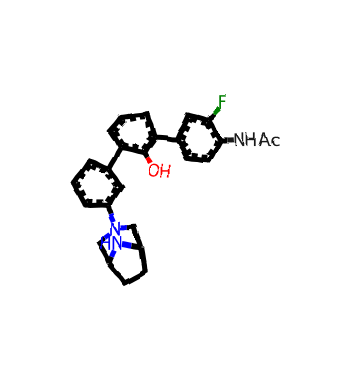 CC(=O)Nc1ccc(-c2cccc(-c3cccc(N4CC5CCC(C4)N5)c3)c2O)cc1F